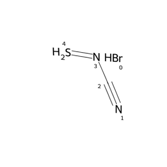 Br.N#CN=[SH2]